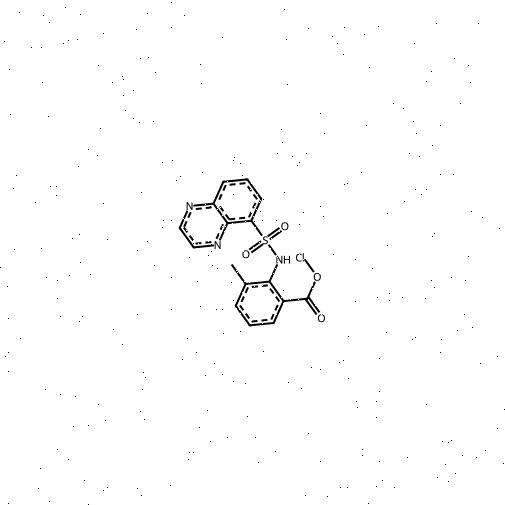 Cc1cccc(C(=O)OCl)c1NS(=O)(=O)c1cccc2nccnc12